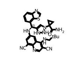 CC(C)(C)CNc1c(C#N)cnc2c(C#N)cc(N[C@H](C3=CN(C4(C(N)=O)CC4)NN3)c3cccc4ncsc34)cc12